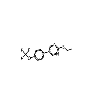 CCSc1ncc(-c2ccc(OC(F)(F)F)cc2)cn1